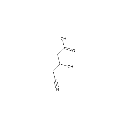 N#CCC(O)CC(=O)O